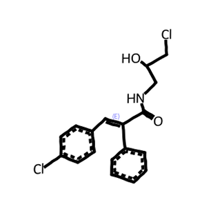 O=C(NCC(O)CCl)/C(=C/c1ccc(Cl)cc1)c1ccccc1